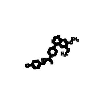 COc1cc2ncnc(N3CCN(C(=S)NCc4ccc(Cl)cc4)CC3)c2cc1OC